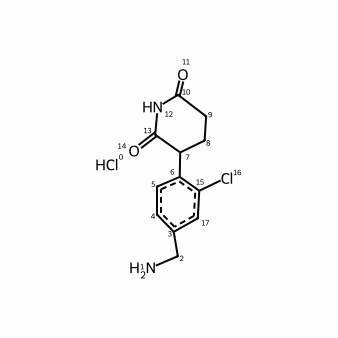 Cl.NCc1ccc(C2CCC(=O)NC2=O)c(Cl)c1